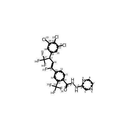 O=C(NNc1cnccn1)c1ccc(C(F)=CC(c2cc(Cl)c(Cl)c(Cl)c2)C(F)(F)F)cc1C(F)(F)F